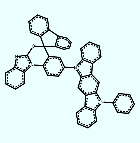 c1ccc(-n2c3ccccc3c3cc4c(cc32)c2ccccc2n4-c2ccc3c(c2)C2(Oc4nc5ccccc5n4-3)c3ccccc3-c3ccccc32)cc1